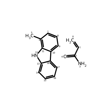 C=CC(N)=O.Cc1cccc2c1[nH]c1ccccc12